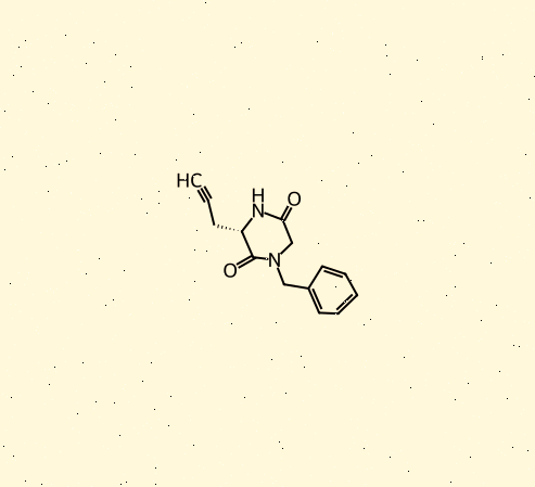 C#CC[C@@H]1NC(=O)CN(Cc2ccccc2)C1=O